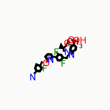 COCC1(Cn2c(Cc3cc(F)c(-c4cccc(OCc5ccc(C#N)cc5F)n4)cc3F)nc3ccc(C(=O)O)cc32)CC1